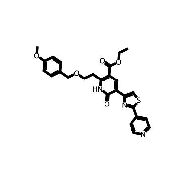 CCOC(=O)c1cc(-c2csc(-c3ccncc3)n2)c(=O)[nH]c1CCOCc1ccc(OC)cc1